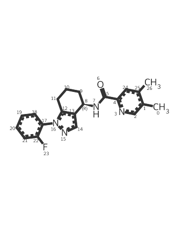 Cc1cnc(C(=O)N[C@@H]2CCCc3c2cnn3-c2ccccc2F)cc1C